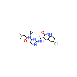 CC(C)CC(=O)N(c1ccnc(NC(C)c2cc3cc(Cl)ccc3[nH]c2=O)n1)C1CC1